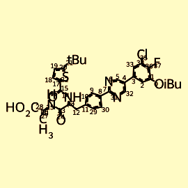 CC(C)COc1cc(-c2cnc(-c3ccc(C[C@H](NC(=O)c4ccc(C(C)(C)C)s4)C(=O)N[C@H](C)C(=O)O)cc3)nc2)cc(Cl)c1F